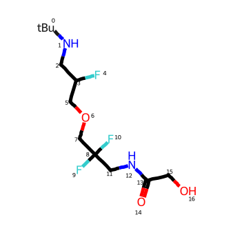 CC(C)(C)NCC(F)COCC(F)(F)CNC(=O)CO